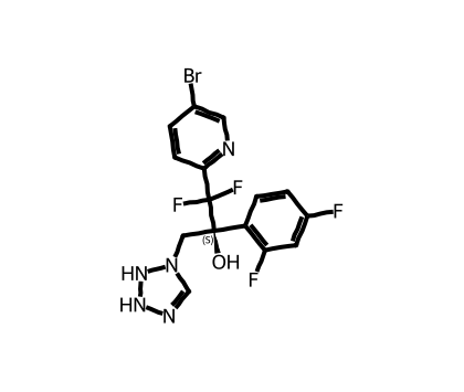 O[C@](CN1C=NNN1)(c1ccc(F)cc1F)C(F)(F)c1ccc(Br)cn1